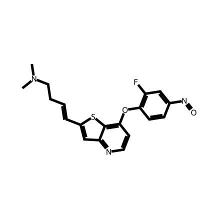 CN(C)CCC=Cc1cc2nccc(Oc3ccc(N=O)cc3F)c2s1